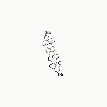 Cc1cc(C(C)(C)C)cc(C)c1N1C(=O)c2ccc3c4ccc5c6c(ccc(c7ccc(c2c37)C1=O)c64)C(O)N(c1c(C)cc(C(C)(C)C)cc1C)C5=O